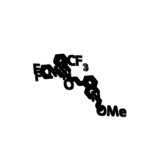 COCCN1CCc2c(CCC(=O)N(CCN3CCC(F)(F)CC3)Cc3ncccc3C(F)(F)F)cccc2C1